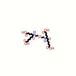 O=C(O)CCCCC(=O)C(CCCC(=O)O)NCCSSCCNC(CCCC(=O)O)C(=O)CCCCC(=O)O